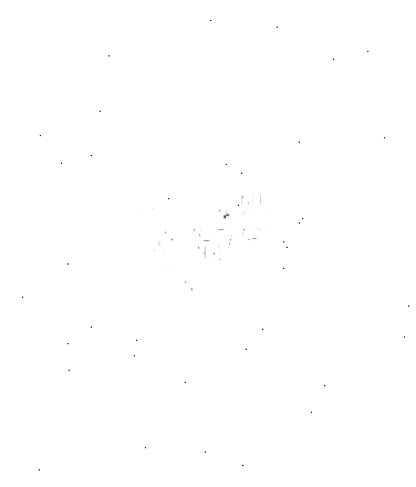 N#Cc1c(N)sc2c(F)ccc(-c3c(Cl)cc4c(N5CCCCC6(CN(C(=O)C7CC7C7CC7)C6)C5)nc(OC[C@@]56CCCN5C[C@H](F)C6)nc4c3F)c12